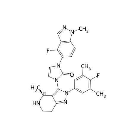 Cc1cc(-n2nc3c(c2-n2ccn(-c4ccc5c(cnn5C)c4F)c2=O)[C@H](C)NCC3)cc(C)c1F